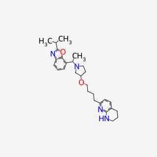 CC(C)c1nc2cccc(C(C)N3CCC(OCCCCc4ccc5c(n4)NCCC5)C3)c2o1